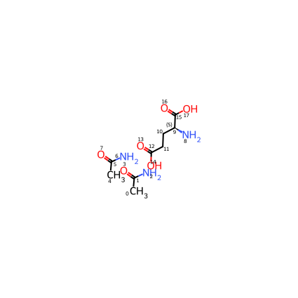 CC(N)=O.CC(N)=O.N[C@@H](CCC(=O)O)C(=O)O